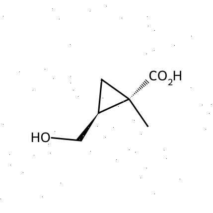 C[C@]1(C(=O)O)C[C@@H]1CO